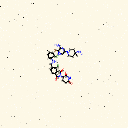 CC1(N)CCN(c2cnc(Sc3cccc(NCc4ccc5c(c4F)C(=O)N(C4CCC(=O)NC4=O)C5=O)c3Cl)c(N)n2)CC1